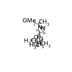 COC[C@@H](C)n1cc(B2OC(C)(C)C(C)(C)O2)cn1